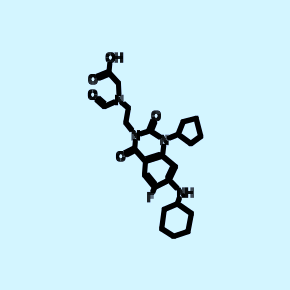 O=CN(CCn1c(=O)c2cc(F)c(NC3CCCCC3)cc2n(C2CCCC2)c1=O)CC(=O)O